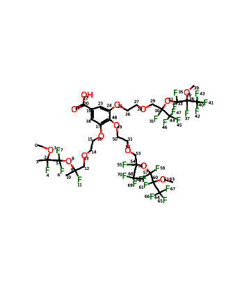 COC(C)(F)C(F)(F)OC(C)(F)COCCOc1cc(C(=O)O)cc(OCCOCC(F)(OC(F)(F)C(F)(OC)C(F)(F)F)C(F)(F)F)c1OCCOCC(F)(OC(F)(F)C(F)(OC)C(F)(F)F)C(F)(F)F